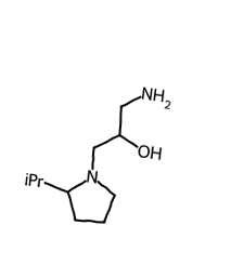 CC(C)C1CCCN1CC(O)CN